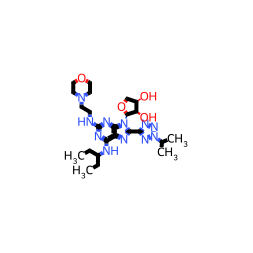 CCC(CC)Nc1nc(NCCN2CCOCC2)nc2c1nc(-c1nnn(C(C)C)n1)n2[C@@H]1OC[C@H](O)[C@H]1O